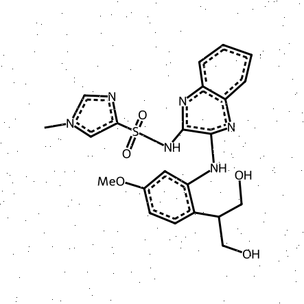 COc1ccc(C(CO)CO)c(Nc2nc3ccccc3nc2NS(=O)(=O)c2cn(C)cn2)c1